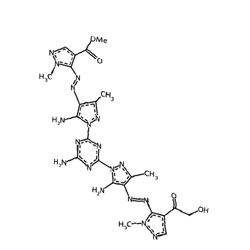 COC(=O)c1cnn(C)c1/N=N/c1c(C)nn(-c2nc(N)nc(-n3nc(C)c(/N=N/c4c(C(=O)CO)cnn4C)c3N)n2)c1N